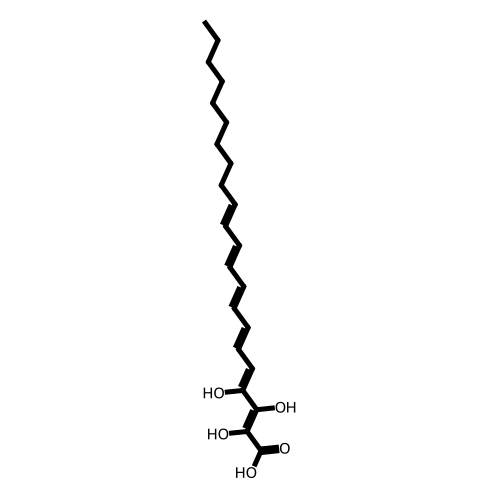 CCCCCCCCCC=CC=CC=CC=CC=C(O)C(O)=C(O)C(=O)O